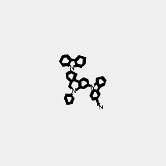 N#Cc1ccc2c(c1)c1ccccc1n2-c1ccc2c(c1)CN(c1ccccc1)Cc1ccc(-n3c4ccccc4c4ccccc43)cc1-2